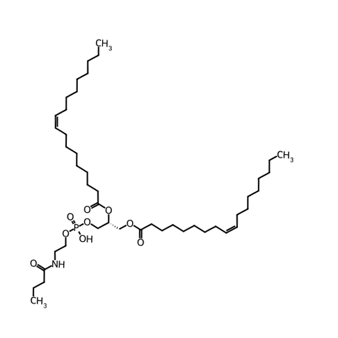 CCCCCCCC/C=C\CCCCCCCC(=O)OC[C@H](COP(=O)(O)OCCNC(=O)CCC)OC(=O)CCCCCCC/C=C\CCCCCCCC